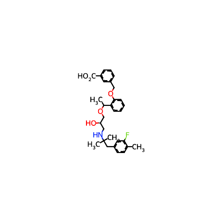 Cc1ccc(CC(C)(C)NC[C@@H](O)COC(C)c2ccccc2OCc2cccc(C(=O)O)c2)cc1F